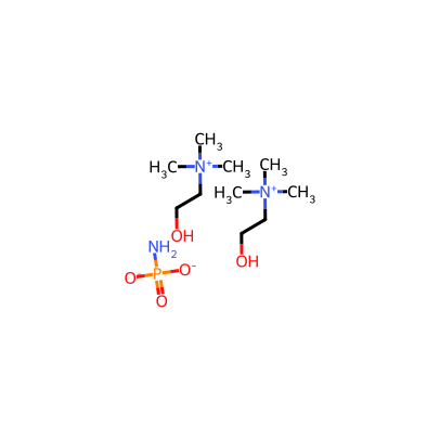 C[N+](C)(C)CCO.C[N+](C)(C)CCO.NP(=O)([O-])[O-]